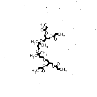 C=CC(=O)OCC(COCCC(C)(C)OCCC(C)(C)OCC(COC(=O)C=C)COC(=O)C=C)COC(=O)C=C